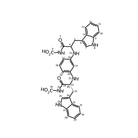 O=C(O)NC(=O)C(Cc1c[nH]c2ccccc12)Nc1cccc(N[C@H](Cc2c[nH]c3ccccc23)C(=O)NC(=O)O)c1